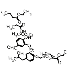 CC(O)Cc1ccccc1.CCC(=O)O.CCCC(=O)OCC.CCCC(=O)OCC.CCOC(=O)CC(C)=O.CCOC(C)=O.CCOc1cc(C=O)ccc1O